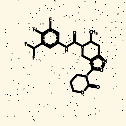 CC1Cc2noc(N3CCCOC3=O)c2CN1C(=O)Nc1cc(F)c(F)c(C(F)F)c1